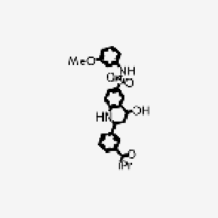 COc1cccc(NS(=O)(=O)c2ccc3c(c2)C(O)CC(c2cccc(C(=O)C(C)C)c2)N3)c1